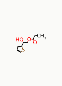 CCC(=O)OCC(O)c1cccs1